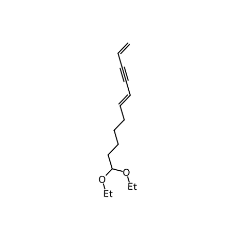 C=CC#C/C=C/CCCCC(OCC)OCC